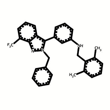 Cc1cccc(C)c1CNc1cccc(-c2c3cccc(C(F)(F)F)c3nn2Cc2ccccc2)c1